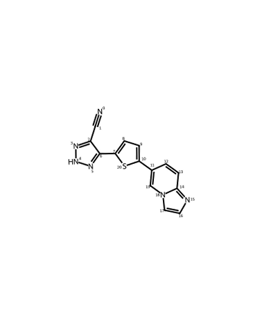 N#Cc1n[nH]nc1-c1ccc(-c2ccc3nccn3c2)s1